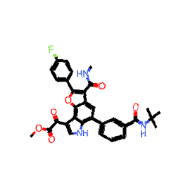 CNC(=O)c1c(-c2ccc(F)cc2)oc2c1cc(-c1cccc(C(=O)NC(C)(C)C)c1)c1[nH]cc(C(=O)C(=O)OC)c12